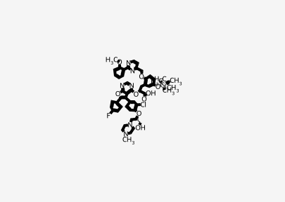 COc1ccccc1-c1nccc(COc2ccc(O[Si](C)(C)C(C)(C)C)cc2CC(Oc2ncnc3oc(-c4ccc(F)cc4)c(-c4ccc(O[C@H](CO)CN5CCN(C)CC5)c(Cl)c4)c23)C(=O)O)n1